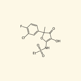 CCS(=O)(=O)NC1=C(O)C(=O)C(C)(c2ccc(F)c(Cl)c2)O1